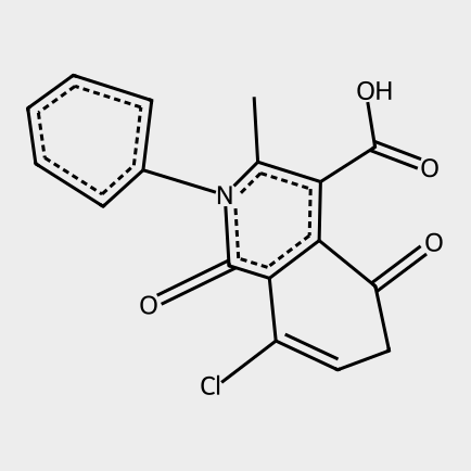 Cc1c(C(=O)O)c2c(c(=O)n1-c1ccccc1)C(Cl)=CCC2=O